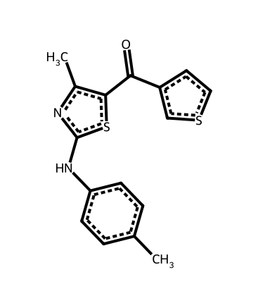 Cc1ccc(Nc2nc(C)c(C(=O)c3ccsc3)s2)cc1